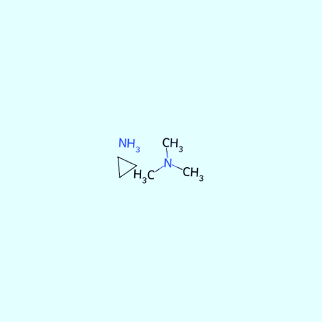 C1CC1.CN(C)C.N